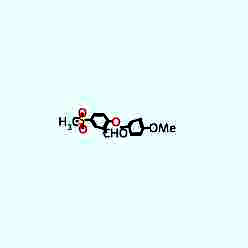 COc1ccc(COc2ccc(S(C)(=O)=O)cc2C=O)cc1